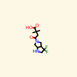 CC(C)(CC(=O)N1CC2NCC(F)(F)C2C1)C(=O)O